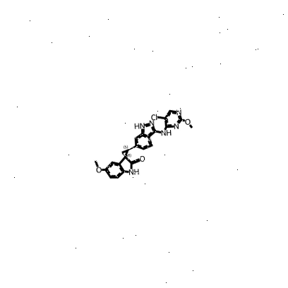 COc1ccc2c(c1)[C@]1(C[C@H]1c1ccc3c(Nc4nc(OC)ncc4Cl)n[nH]c3c1)C(=O)N2